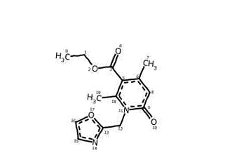 CCOC(=O)c1c(C)cc(=O)n(Cc2ncco2)c1C